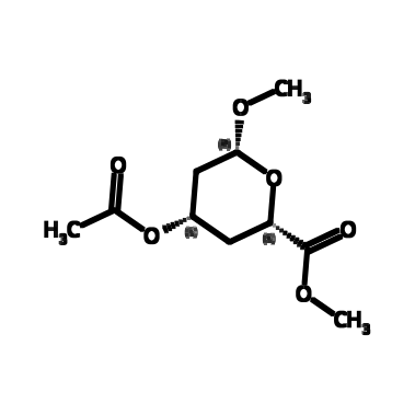 COC(=O)[C@@H]1C[C@H](OC(C)=O)C[C@H](OC)O1